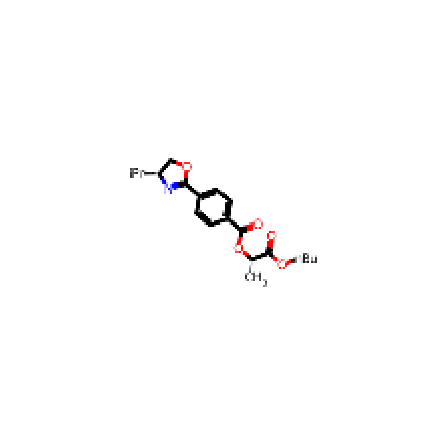 CCCCOC(=O)[C@H](C)OC(=O)c1ccc(C2=N[C@@H](C(C)C)CO2)cc1